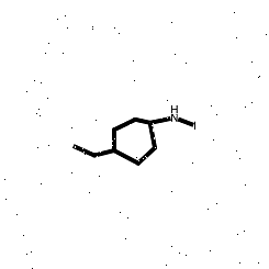 CCC1CCC(NI)CC1